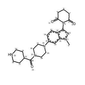 Cn1nc(N2C(=O)CCCC2=O)c2ccc(N3CCN(C(=O)C4CCNCC4)CC3)cc21